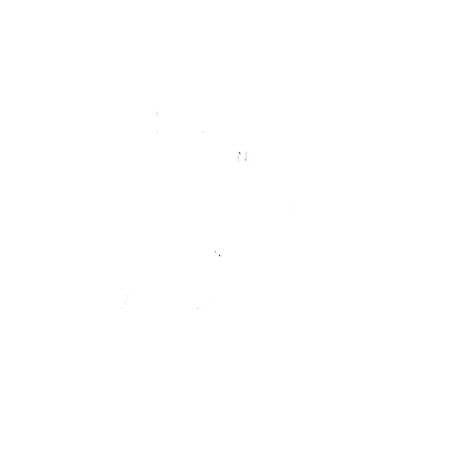 c1ccc(-c2ccccc2-c2cccc(N(c3ccccc3)c3ccc(-c4ccccc4-c4ccc5c(c4)c4ccccc4n5-c4ccc5sc6ccccc6c5c4)cc3)c2)cc1